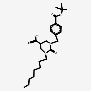 CCCCCCCCN1CC(C(=O)O)CN(Cc2ccc(C(=O)OC(C)(C)C)cc2)C1=O